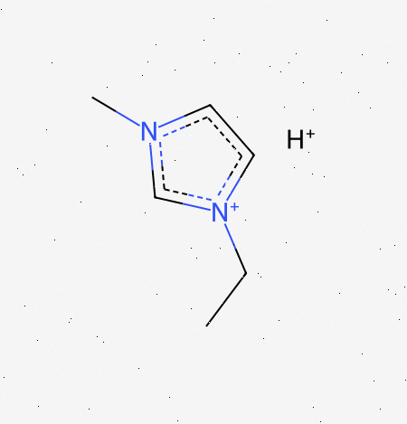 CC[n+]1ccn(C)c1.[H+]